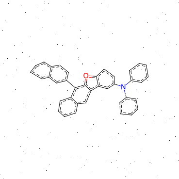 c1ccc(N(c2ccccc2)c2ccc3oc4c(-c5ccc6ccccc6c5)c5ccccc5cc4c3c2)cc1